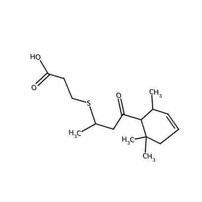 CC(CC(=O)C1C(C)C=CCC1(C)C)SCCC(=O)O